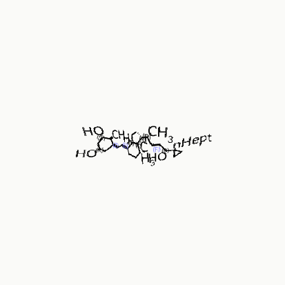 C=C1/C(=C\C=C2/CCC[C@]3(C)[C@@H]([C@H](C)/C=C/[C@@H](O)C4(CCCCCCC)CC4)CC[C@@H]23)C[C@@H](O)C[C@@H]1O